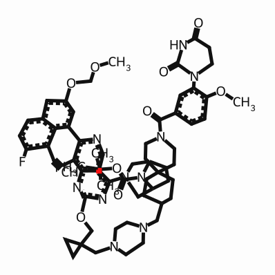 C#Cc1c(F)ccc2cc(OCOC)cc(-c3ncc4c(N5CC6CCC(C5)N6C(=O)OC(C)(C)C)nc(OCC5(CN6CCN(CC7CCC8(CC7)CCN(C(=O)c7ccc(OC)c(N9CCC(=O)NC9=O)c7)CC8)CC6)CC5)nc4c3F)c12